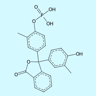 Cc1cc(C2(c3ccc(OP(=O)(O)O)c(C)c3)OC(=O)c3ccccc32)ccc1O